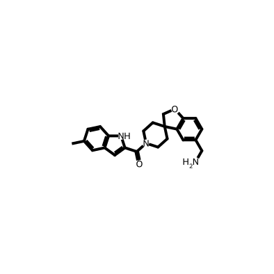 Cc1ccc2[nH]c(C(=O)N3CCC4(CC3)COc3ccc(CN)cc34)cc2c1